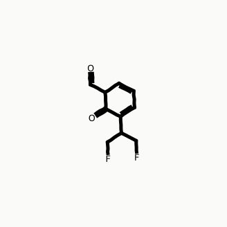 O=CC1C=CC=C(C(CF)CF)C1=O